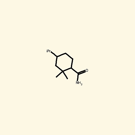 CC(C)C1CCC(C(N)=O)C(C)(C)C1